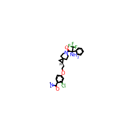 CN(C)C(=O)c1ccc(OCC[C@H]2CC23CCN(C(=O)C(N)(c2ccccc2)C(F)(F)F)CC3)cc1Cl